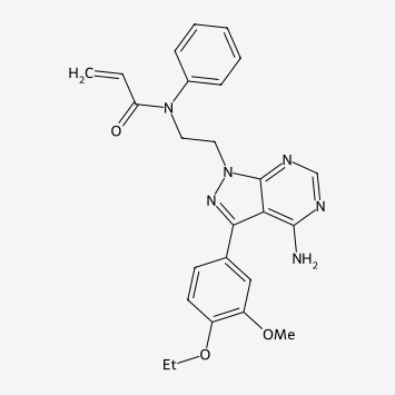 C=CC(=O)N(CCn1nc(-c2ccc(OCC)c(OC)c2)c2c(N)ncnc21)c1ccccc1